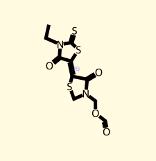 CCN1C(=O)/C(=C2\SCN(COC=O)C2=O)SC1=S